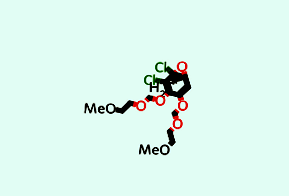 C=CC12C=C(OCOCCOC)C(OCOCCOC)=C(Cl)C1(Cl)O2